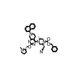 C[C@@H]1CN(C(=O)OCc2ccccc2)[C@@H](CC#N)CN1c1nc(OC[C@@H]2CCCN2C)nc2c1CCN(c1cccc3ccccc13)C2